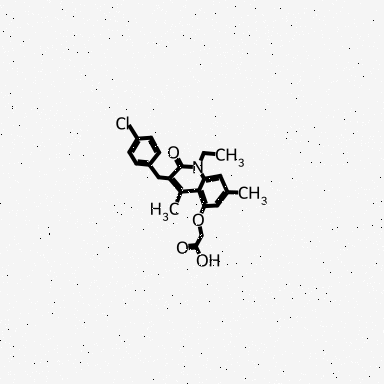 CCn1c(=O)c(Cc2ccc(Cl)cc2)c(C)c2c(OCC(=O)O)cc(C)cc21